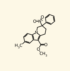 COC(=O)c1c2n(c3ccc(C)cc13)CC(c1ccccc1)([N+](=O)[O-])CC2